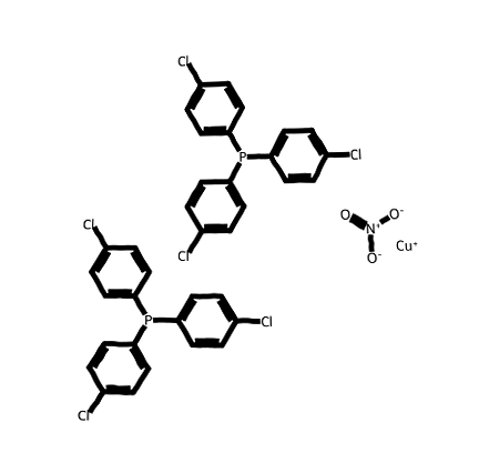 Clc1ccc(P(c2ccc(Cl)cc2)c2ccc(Cl)cc2)cc1.Clc1ccc(P(c2ccc(Cl)cc2)c2ccc(Cl)cc2)cc1.O=[N+]([O-])[O-].[Cu+]